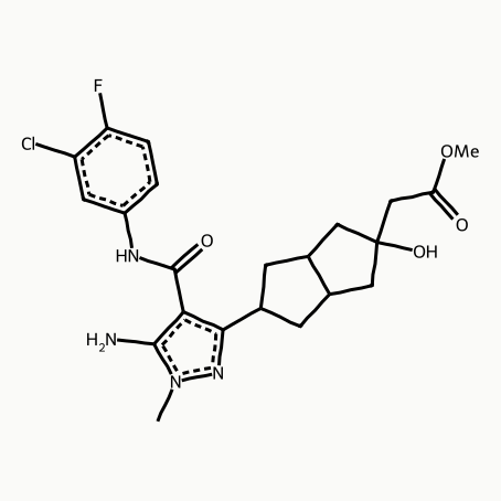 COC(=O)CC1(O)CC2CC(c3nn(C)c(N)c3C(=O)Nc3ccc(F)c(Cl)c3)CC2C1